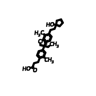 CCC(CC)(c1ccc(CCC(=O)O)c(C)c1)c1ccc(CCC2(O)CCCC2)c(C)c1